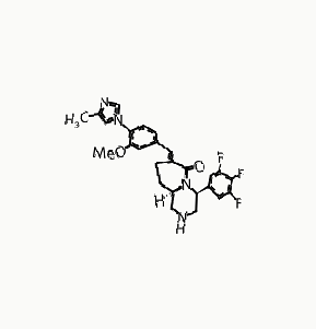 COc1cc(C=C2CC[C@@H]3CNC[C@H](c4cc(F)c(F)c(F)c4)N3C2=O)ccc1-n1cnc(C)c1